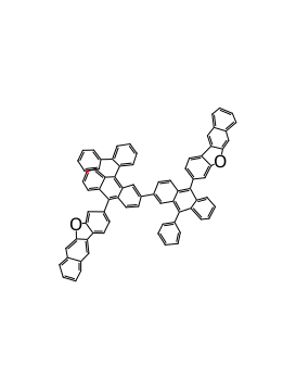 c1ccc(-c2ccccc2-c2c3ccccc3c(-c3ccc4c(c3)oc3cc5ccccc5cc34)c3ccc(-c4ccc5c(-c6ccc7c(c6)oc6cc8ccccc8cc67)c6ccccc6c(-c6ccccc6)c5c4)cc23)cc1